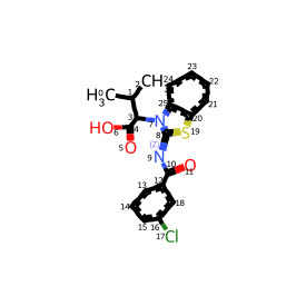 CC(C)C(C(=O)O)n1/c(=N/C(=O)c2cccc(Cl)c2)sc2ccccc21